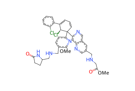 COC(=O)CNCc1cnc2cc(C3(c4ccc(CNCC5CCC(=O)N5)c(OC)n4)C=CC=C(c4ccccc4Cl)[C@@H]3Cl)ncc2c1